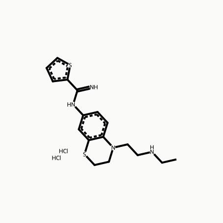 CCNCCN1CCSc2cc(NC(=N)c3cccs3)ccc21.Cl.Cl